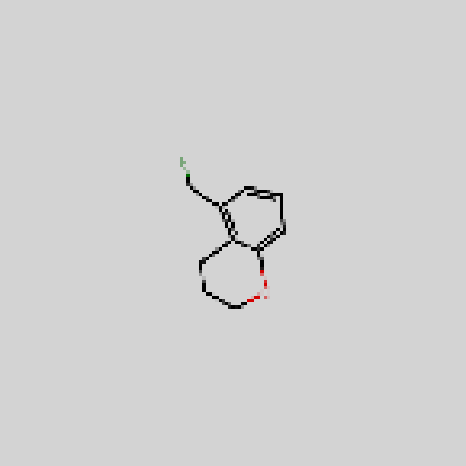 FCc1cccc2c1CCCO2